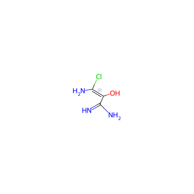 N=C(N)/C(O)=C(\N)Cl